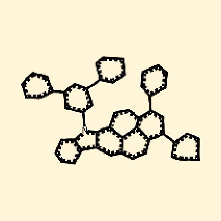 c1ccc(-c2cc(-c3ccccc3)cc(-n3c4ccccc4c4cc5ccc6c(-c7ccccc7)cc(-c7ccccc7)c7ccc(c5c67)c43)c2)cc1